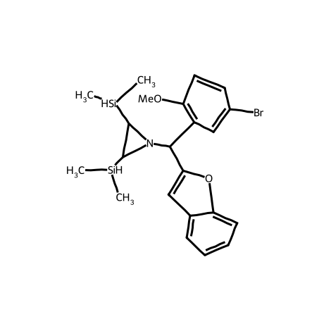 COc1ccc(Br)cc1C(c1cc2ccccc2o1)N1C([SiH](C)C)C1[SiH](C)C